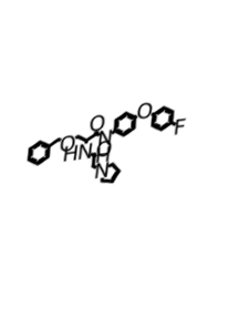 O=C(CN1CC=CC1)NC(COCc1ccccc1)C(=O)Nc1ccc(Oc2ccc(F)cc2)cc1